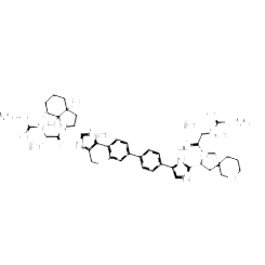 COC(=O)N[C@H](C(=O)N1C[C@]2(CCCOC2)C[C@H]1c1ncc(-c2ccc(-c3ccc4c(c3)OCc3nc([C@@H]5C[C@@H]6CCCC[C@@H]6N5C(=O)[C@@H](NC(=O)OC)C(C)C)[nH]c3-4)cc2)[nH]1)C(C)C